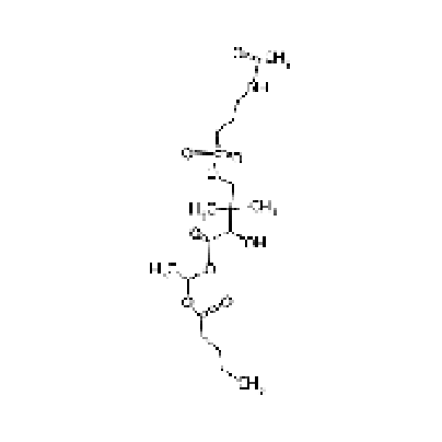 CCCCC(=O)OC(C)OC(=O)[C@H](O)C(C)(C)COS(=O)(=O)CCCNC(C)=O